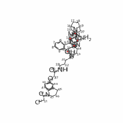 Nc1nnc(-c2ccccc2O)cc1N1CC2CCC(C1)N2c1ncc(C2CCN(CCCCNC(=O)COc3ccc4c(c3)CCCN4C(=O)CCl)CC2)cn1